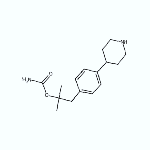 CC(C)(Cc1ccc(C2CCNCC2)cc1)OC(N)=O